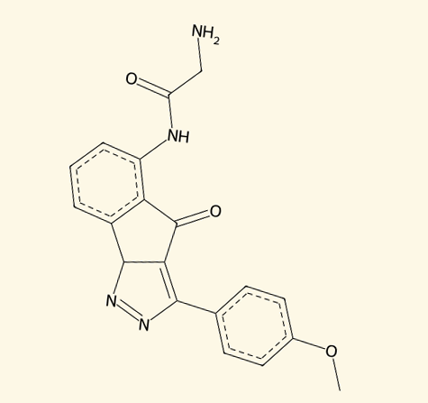 COc1ccc(C2=C3C(=O)c4c(NC(=O)CN)cccc4C3N=N2)cc1